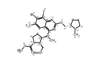 COC[C@@H]1[C@H](N(C)c2nc(OC[C@@H]3CCCN3C)nc3c(F)c(Br)c(C(F)(F)F)cc23)CCN1C(=O)OC(C)(C)C